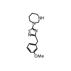 COc1cccc(Cc2nsc(N3CCCCNC3)n2)c1